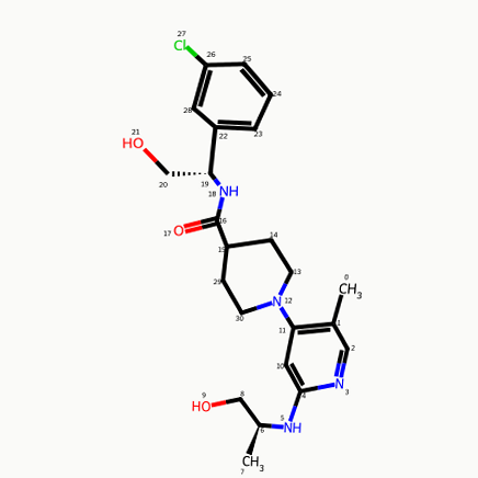 Cc1cnc(N[C@@H](C)CO)cc1N1CCC(C(=O)N[C@H](CO)c2cccc(Cl)c2)CC1